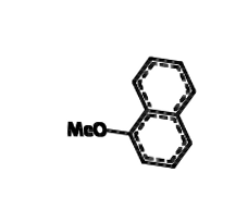 [CH]Oc1cccc2ccccc12